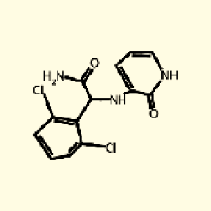 NC(=O)C(Nc1ccc[nH]c1=O)c1c(Cl)cccc1Cl